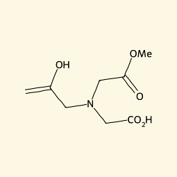 C=C(O)CN(CC(=O)O)CC(=O)OC